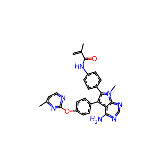 C=C(C)C(=O)Nc1ccc(-c2c(-c3ccc(Oc4nccc(C)n4)cc3)c3c(N)ncnc3n2C)cc1